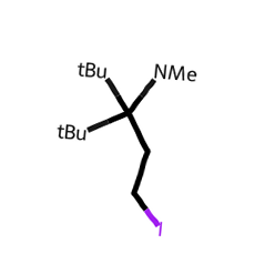 CNC(CCI)(C(C)(C)C)C(C)(C)C